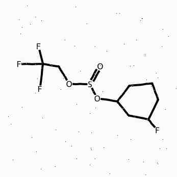 O=S(OCC(F)(F)F)OC1CCCC(F)C1